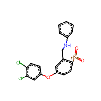 O=[SH](=O)c1ccc(Oc2ccc(Cl)c(Cl)c2)cc1CNc1ccccc1